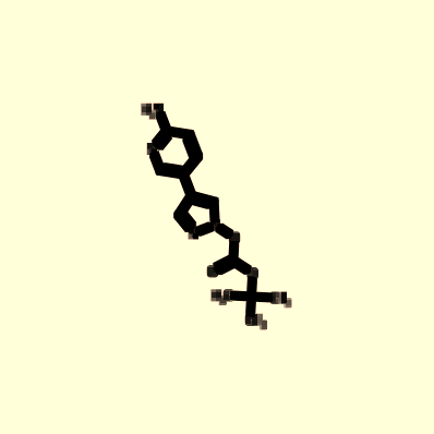 CC(C)(C)OC(=O)On1cc(-c2ccc(N)nc2)cn1